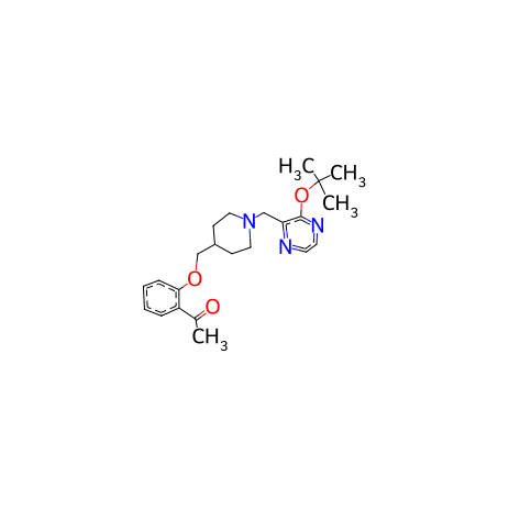 CC(=O)c1ccccc1OCC1CCN(Cc2nccnc2OC(C)(C)C)CC1